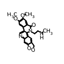 CNCCn1c(=O)c2cc(OC)c(OC)cc2c2cnc3cc4c(cc3c21)COO4